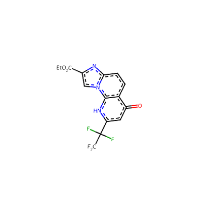 CCOC(=O)c1cn2c(ccc3c(=O)cc(C(F)(F)C(F)(F)F)[nH]c32)n1